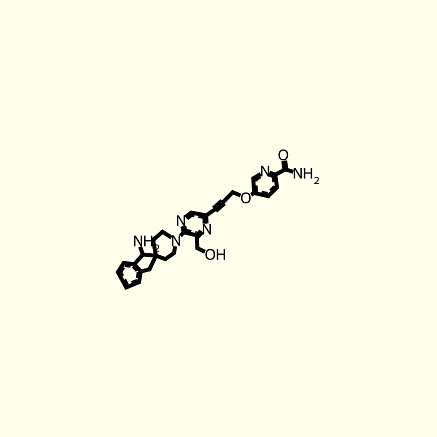 NC(=O)c1ccc(OCC#Cc2cnc(N3CCC4(CC3)Cc3ccccc3C4N)c(CO)n2)cn1